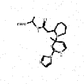 CCCCCCC(C)NC(=O)CC1CCCCN1C1(C)C=CNC(n2ccnc2)=N1